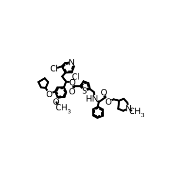 COc1ccc(C(Cc2c(Cl)cncc2Cl)OC(=O)c2ccc(CNC(C(=O)OCC3CCN(C)CC3)c3ccccc3)s2)cc1OC1CCCC1